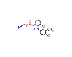 Cc1c(Cl)ccc(Nc2ccccc2CC(=O)OCC#N)c1Cl